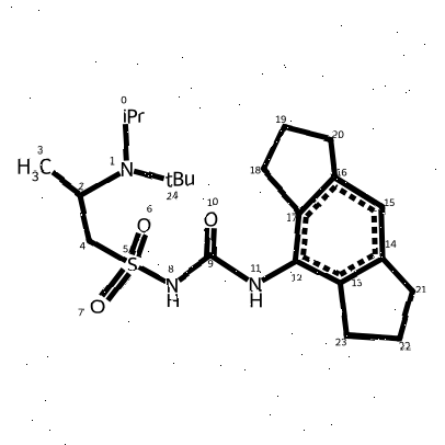 CC(C)N(C(C)CS(=O)(=O)NC(=O)Nc1c2c(cc3c1CCC3)CCC2)C(C)(C)C